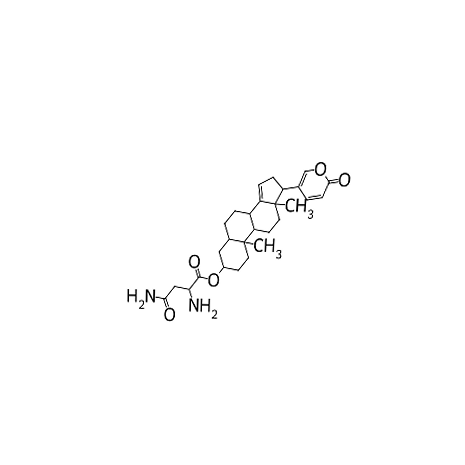 CC12CCC3C(CCC4CC(OC(=O)C(N)CC(N)=O)CCC43C)C1=CCC2c1ccc(=O)oc1